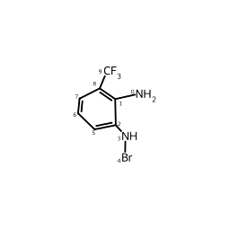 Nc1c(NBr)cccc1C(F)(F)F